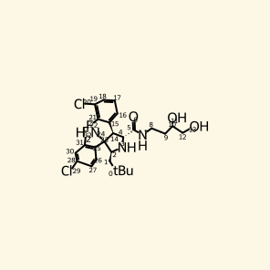 CC(C)(C)C[C@@H]1N[C@@H](C(=O)NCC[C@H](O)CO)[C@H](c2cccc(Cl)c2F)[C@@]1(N)c1ccc(Cl)cc1F